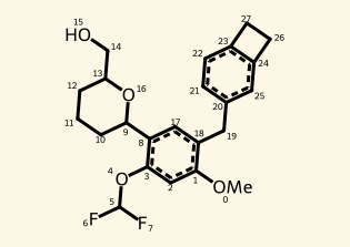 COc1cc(OC(F)F)c(C2CCCC(CO)O2)cc1Cc1ccc2c(c1)CC2